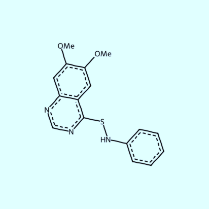 COc1cc2ncnc(SNc3ccccc3)c2cc1OC